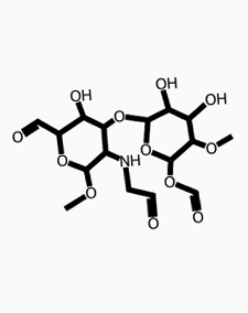 COC1OC(C=O)C(O)C(OC2OC(OC=O)C(OC)C(O)C2O)C1NCC=O